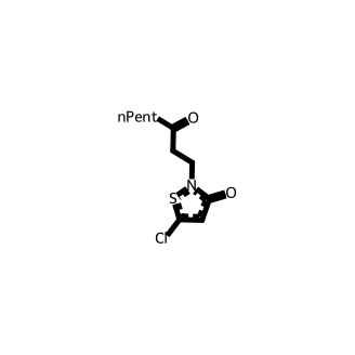 CCCCCC(=O)CCn1sc(Cl)cc1=O